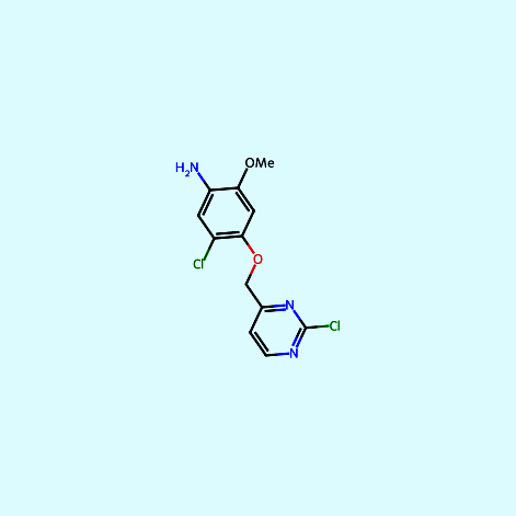 COc1cc(OCc2ccnc(Cl)n2)c(Cl)cc1N